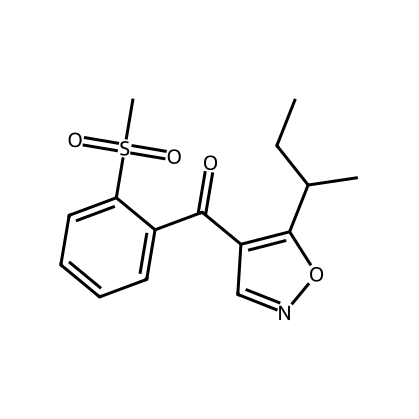 CCC(C)c1oncc1C(=O)c1ccccc1S(C)(=O)=O